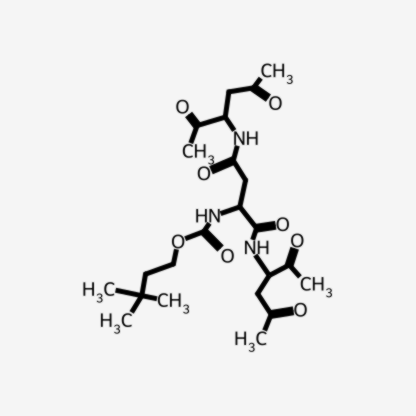 CC(=O)CC(NC(=O)CC(NC(=O)OCCC(C)(C)C)C(=O)NC(CC(C)=O)C(C)=O)C(C)=O